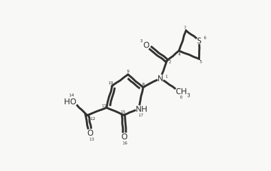 CN(C(=O)C1CSC1)c1ccc(C(=O)O)c(=O)[nH]1